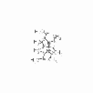 C=C([SiH3])C(CC)(N(CC)CCC)N(CC)CCC